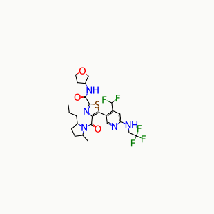 CCCC1CCC(C)N1C(=O)c1nc(C(=O)NC2CCOC2)sc1-c1cnc(NCC(F)(F)F)cc1C(F)F